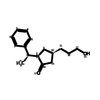 C[C@H](c1ccccc1)N1C[C@H](CCCO)CC1=O